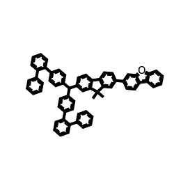 CC1(C)c2cc(-c3ccc4c(c3)oc3ccccc34)ccc2-c2ccc(C(c3ccc(-c4ccccc4-c4ccccc4)cc3)c3ccc(-c4ccccc4-c4ccccc4)cc3)cc21